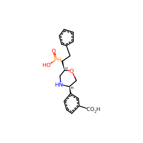 O=C(O)c1cccc([C@@H]2CO[C@H](C(Cc3ccccc3)[PH](=O)O)CN2)c1